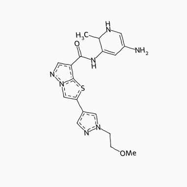 COCCn1cc(-c2cn3ncc(C(=O)NC4=CC(N)=CNC4C)c3s2)cn1